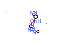 CN(c1cnc2cnn(CC(=O)Nc3ccc4ncncc4c3)c2n1)C1CCC1